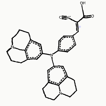 [C-]#[N+]/C(=C\c1ccc(N(c2cc3c4c(c2)CCCN4CCC3)c2cc3c4c(c2)CCCN4CCC3)cc1)C(=O)O